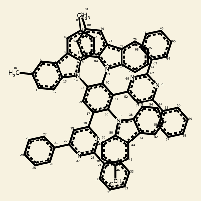 Cc1ccc2c(c1)c1cc(C)ccc1n2-c1cc(-c2cc(-c3ccccc3)nc(-c3ccccc3)n2)c(-n2c3ccccc3c3cc(C)ccc32)c(-c2cc(-c3ccccc3)nc(-c3ccccc3)n2)c1-n1c2ccccc2c2cc(C)ccc21